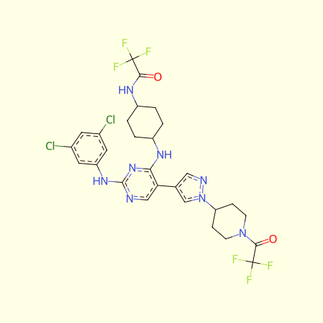 O=C(NC1CCC(Nc2nc(Nc3cc(Cl)cc(Cl)c3)ncc2-c2cnn(C3CCN(C(=O)C(F)(F)F)CC3)c2)CC1)C(F)(F)F